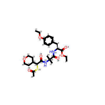 CCOC(=O)[C@H](Cc1ccc(OCC)cc1)NC(=O)C(C)(C)NC(=O)[C@@H](SC(C)=O)C1CCOCC1